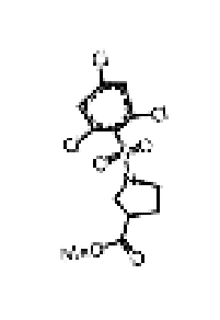 COC(=O)C1CCN(S(=O)(=O)c2c(Cl)cc(Cl)cc2Cl)C1